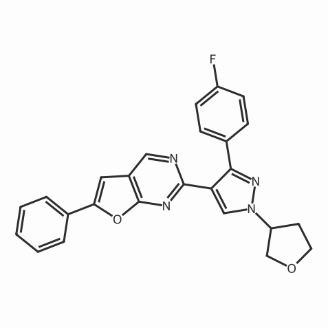 Fc1ccc(-c2nn(C3CCOC3)cc2-c2ncc3cc(-c4ccccc4)oc3n2)cc1